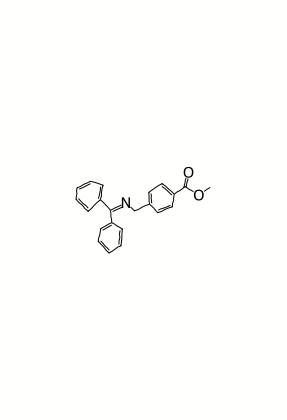 COC(=O)c1ccc(CN=C(c2ccccc2)c2ccccc2)cc1